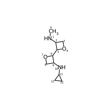 CNC1COC1C1OCC1NC1CC1